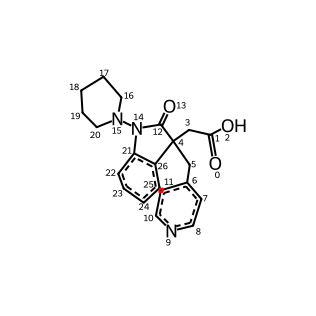 O=C(O)CC1(Cc2ccncc2)C(=O)N(N2CCCCC2)c2ccccc21